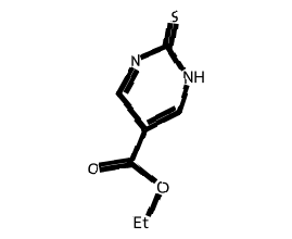 CCOC(=O)c1cnc(=S)[nH]c1